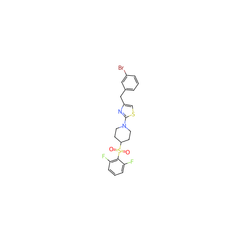 O=S(=O)(c1c(F)cccc1F)C1CCN(c2nc(Cc3cccc(Br)c3)cs2)CC1